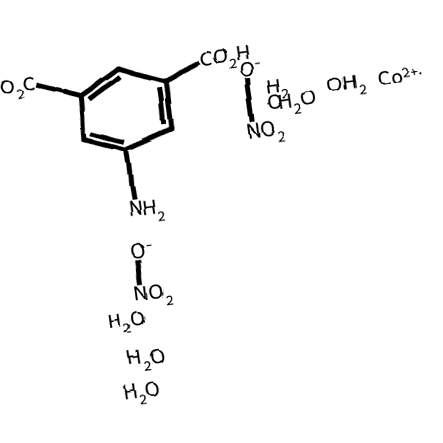 Nc1cc(C(=O)O)cc(C(=O)O)c1.O.O.O.O.O.O.O=[N+]([O-])[O-].O=[N+]([O-])[O-].[Co+2]